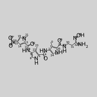 Cc1c(NC(=O)c2[nH]cc(NC(=O)c3cc([N+](=O)[O-])cn3C)c2C)c[nH]c1C(=O)NCCC(N)=NO